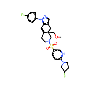 COCC12Cc3cnn(-c4ccc(F)cc4)c3C=C1CCN(S(=O)(=O)c1ccc(N3CCC(F)C3)nc1)C2